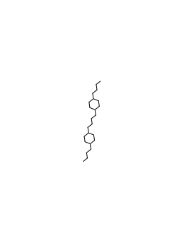 CCCCC1CCC(CCCCC2CCC(CCCC)CC2)CC1